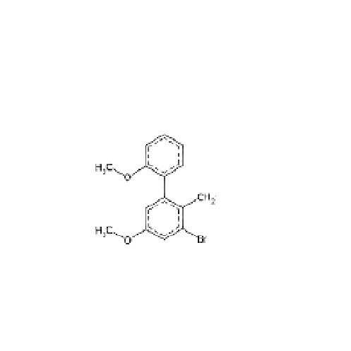 [CH2]c1c(Br)cc(OC)cc1-c1ccccc1OC